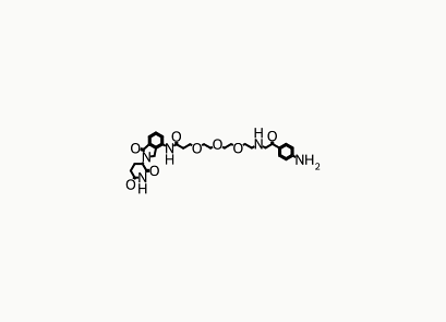 Nc1ccc(C(=O)CNCCOCCOCCOCCC(=O)Nc2cccc3c2CN(C2CCC(=O)NC2=O)C3=O)cc1